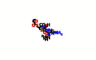 [2H]C([2H])([2H])O/N=C(\C(=O)N[C@@H]1C(=O)N2C(C(=O)O)=C(CSC(=O)c3ccco3)CS[C@H]12)c1csc(N)n1